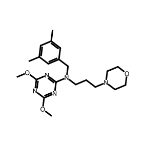 COc1nc(OC)nc(N(CCCN2CCOCC2)Cc2cc(C)cc(C)c2)n1